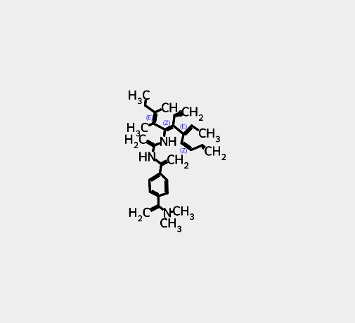 C=C\C=C/C(=C\C)C(/C=C)=C(NC(=C)NC(=C)c1ccc(C(=C)N(C)C)cc1)/C(C)=C(\C)CC